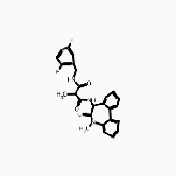 CC(C(=O)NCc1cc(F)ccc1F)C(=O)NC1C(=O)N(C)c2ccccc2-c2ccccc21